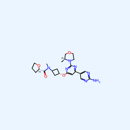 C[C@H]1COCCN1c1nc(O[C@H]2C[C@H](N(C)C(=O)[C@@H]3CCCO3)C2)cc(-c2cnc(N)nc2)n1